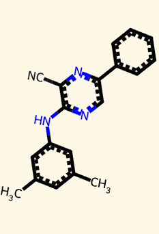 Cc1cc(C)cc(Nc2ncc(-c3ccccc3)nc2C#N)c1